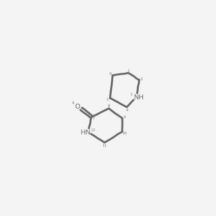 C1CCNCC1.O=C1CCCCN1